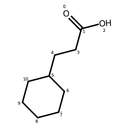 O=C(O)CCC1C[CH]CCC1